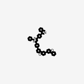 c1ccc(-c2nc(-c3ccc(-c4ccc5oc6ccc(-c7ccc8oc9ccccc9c8c7)cc6c5c4)cc3)cc(-c3ccc(-c4cncc5ccccc45)cc3)n2)cc1